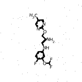 Cc1cnc(OC/C(N)=C/Nc2ccc(F)c(OC(F)F)c2)nc1